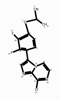 CC(C#N)Oc1ccc(-c2cnc3c(Cl)nccn23)c(F)c1F